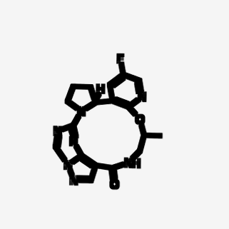 CC1CNC(=O)c2cnn3cnc(nc23)N2CCC[C@@H]2c2cc(F)cnc2O1